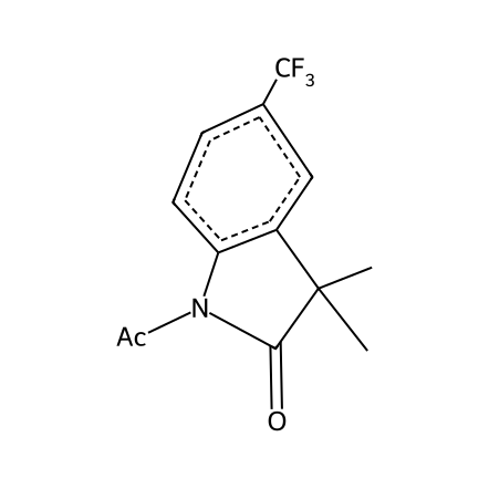 CC(=O)N1C(=O)C(C)(C)c2cc(C(F)(F)F)ccc21